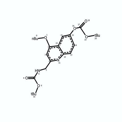 CCCCOc1cc(CNC(=O)OC(C)(C)C)nc2ccc(OC(=O)OC(C)(C)C)cc12